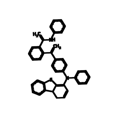 C=C(Nc1ccccc1)c1ccccc1C(=C)c1ccc(N(C2=C3Sc4ccccc4C3CC=C2)c2ccccc2)cc1